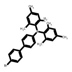 Cc1cc(C)c(B(c2ccc(-c3ccc(Br)cc3)cc2)c2c(C)cc(C)cc2C)c(C)c1